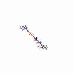 CC(C)(C)NCCCOCCOCCOCCCNC(=O)CCCC(=O)NCCCOC(C)(C)C